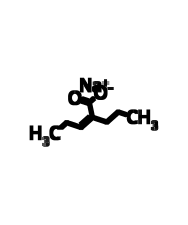 CCC=C(CCC)C(=O)[O-].[Na+]